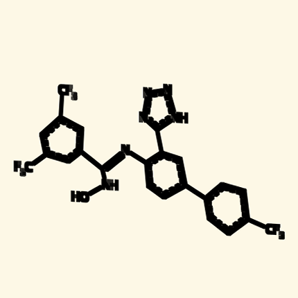 ONC(=Nc1ccc(-c2ccc(C(F)(F)F)cc2)cc1-c1nnn[nH]1)c1cc(C(F)(F)F)cc(C(F)(F)F)c1